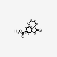 CC(=O)c1cc2c3c(c1)OCCCN3C(=O)C2